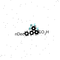 CCCCCCCCCC[C@H]1CC[C@H](C2CCC(c3ccc(C(=O)O)c(F)c3-c3cc(F)c(F)c(F)c3)CC2)CC1